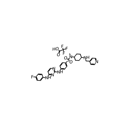 CN(C1CCC(NCc2ccncc2)CC1)S(=O)(=O)c1ccc(Nc2nccc(Nc3ccc(F)cc3)n2)cc1.O=C(O)C(F)(F)F